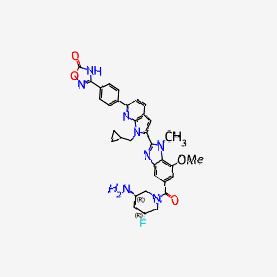 COc1cc(C(=O)N2C[C@H](N)C[C@@H](F)C2)cc2nc(-c3cc4ccc(-c5ccc(-c6noc(=O)[nH]6)cc5)nc4n3CC3CC3)n(C)c12